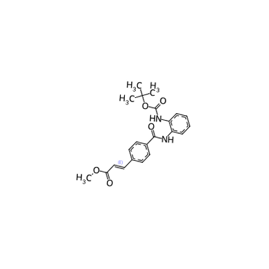 COC(=O)/C=C/c1ccc(C(=O)Nc2ccccc2NC(=O)OC(C)(C)C)cc1